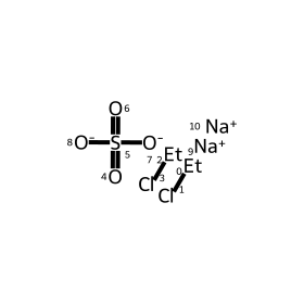 CCCl.CCCl.O=S(=O)([O-])[O-].[Na+].[Na+]